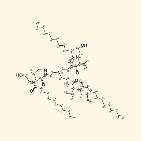 CCCCCCCCCCCC(=O)N(CCO)C(C(=O)NCCN(CCNC(=O)C(C(C)C)N(CCO)C(=O)CCCCCCCCCCC)CCNC(=O)C(C(C)C)N(CCO)C(=O)CCCCCCCCCCC)C(C)C